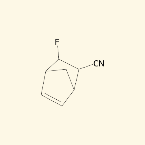 N#CC1C2C=CC(C2)C1F